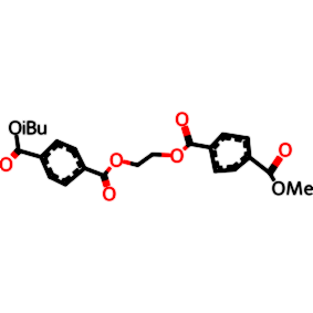 COC(=O)c1ccc(C(=O)OCCOC(=O)c2ccc(C(=O)OCC(C)C)cc2)cc1